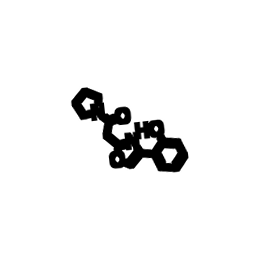 O=C(Cc1nc(-c2ccccc2O)co1)N1CCCC1